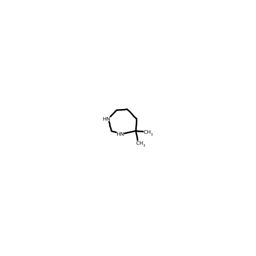 CC1(C)CCCNCN1